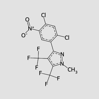 Cn1nc(-c2cc([N+](=O)[O-])c(Cl)cc2Cl)c(C(F)(F)F)c1C(F)(F)F